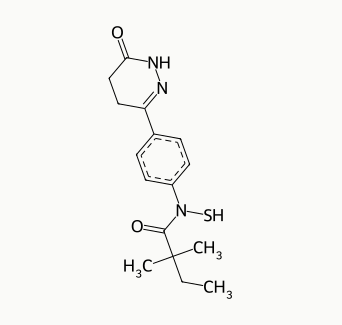 CCC(C)(C)C(=O)N(S)c1ccc(C2=NNC(=O)CC2)cc1